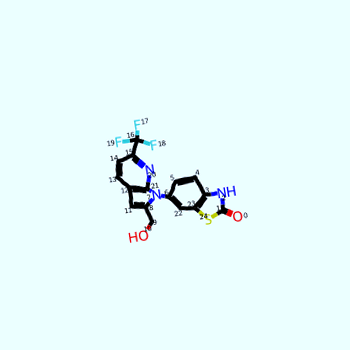 O=c1[nH]c2ccc(-n3c(CO)cc4ccc(C(F)(F)F)nc43)cc2s1